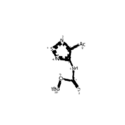 CC(=O)c1nsnc1NC(=O)OC(C)(C)C